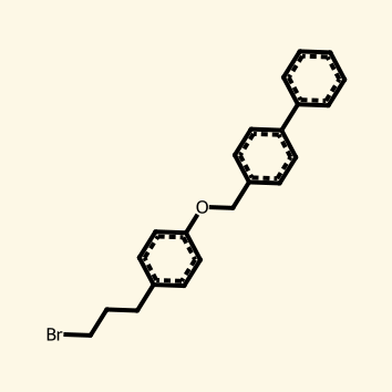 BrCCCc1ccc(OCc2ccc(-c3ccccc3)cc2)cc1